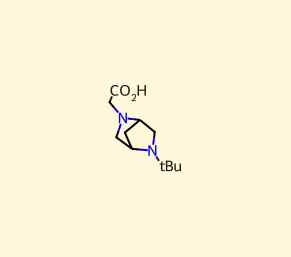 CC(C)(C)N1CC2CC1CN2CC(=O)O